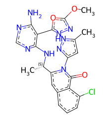 COc1nnc(-c2c(N)ncnc2N[C@@H](C)c2cc3cccc(Cl)c3c(=O)n2-c2cc(C)[nH]n2)o1